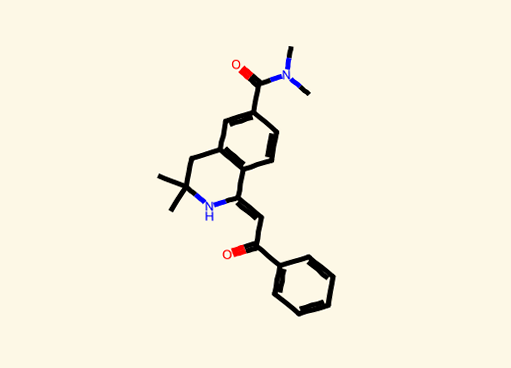 CN(C)C(=O)c1ccc2c(c1)CC(C)(C)N/C2=C\C(=O)c1ccccc1